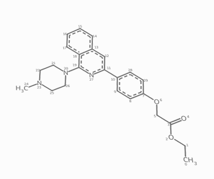 CCOC(=O)COc1ccc(-c2cc3ccccc3c(N3CCN(C)CC3)n2)cc1